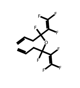 C=CCC(F)(OC(F)(CC=C)C(F)=C(F)F)C(F)=C(F)F